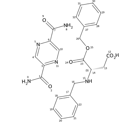 NC(=O)c1cnc(C(N)=O)cn1.O=C(O)C[C@H](NCc1ccccc1)C(=O)OCc1ccccc1